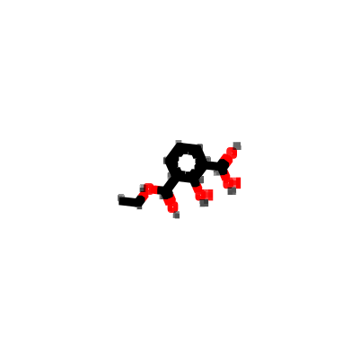 CCOC(=O)c1cccc(C(=O)O)c1O